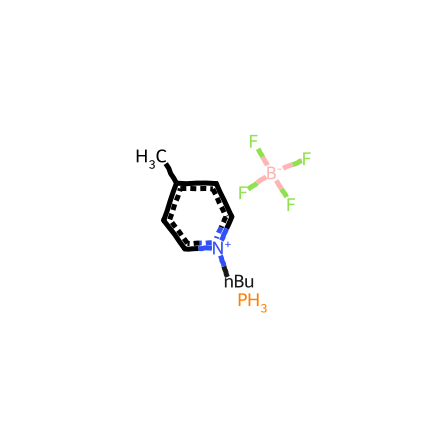 CCCC[n+]1ccc(C)cc1.F[B-](F)(F)F.P